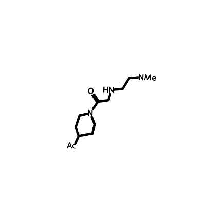 CNCCNCC(=O)N1CCC(C(C)=O)CC1